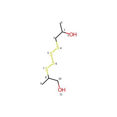 CC(O)CSSSSC(C)CO